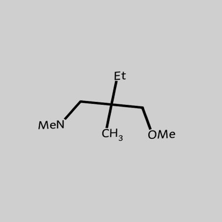 CCC(C)(CNC)COC